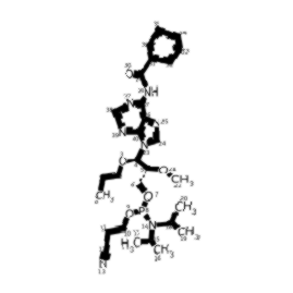 CCCO[C@H]([C@@H](COP(OCCC#N)N(C(C)C)C(C)C)OC)n1cnc2c(NC(=O)c3ccccc3)ncnc21